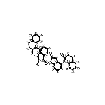 CC1=Cc2c(cccc2N2c3ccccc3CCC2C)C1SC1C(C)=Cc2c1cccc2N1c2ccccc2CCC1C